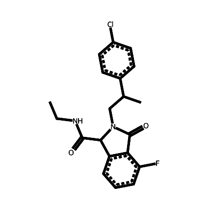 CCNC(=O)C1c2cccc(F)c2C(=O)N1CC(C)c1ccc(Cl)cc1